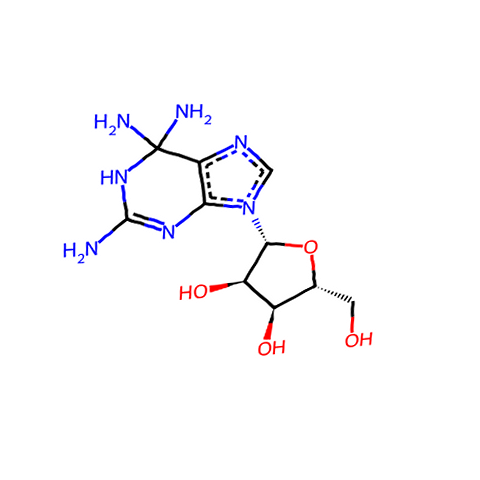 NC1=Nc2c(ncn2[C@@H]2O[C@H](CO)[C@@H](O)[C@H]2O)C(N)(N)N1